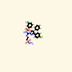 NS(=O)(=O)CCN=C(NS(=O)(=O)c1cccc(Cl)c1)N1C[C@H](c2ccccc2)C(c2ccc(Cl)cc2)=N1